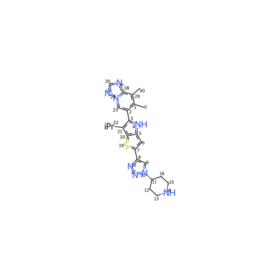 Cc1c(-c2[nH]c3cc(-c4cn(C5CCNCC5)nn4)sc3c2C(C)C)cn2ncnc2c1C